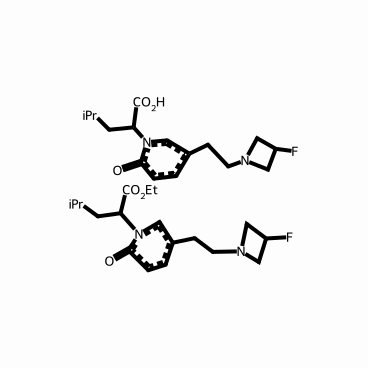 CC(C)CC(C(=O)O)n1cc(CCN2CC(F)C2)ccc1=O.CCOC(=O)C(CC(C)C)n1cc(CCN2CC(F)C2)ccc1=O